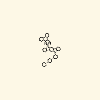 c1ccc(-c2ccc(-c3cccc(-n4c5ccccc5c5cc6c(cc54)c4ccccc4n6-c4ncc5c6ccccc6c6ccccc6c5n4)c3)cc2)cc1